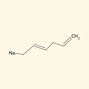 C=CCC=C[CH2][Na]